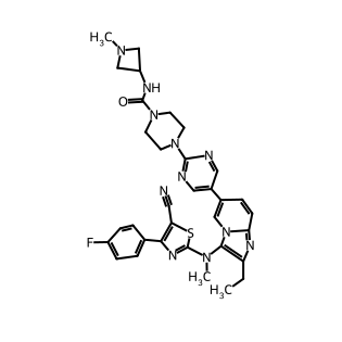 CCc1nc2ccc(-c3cnc(N4CCN(C(=O)NC5CN(C)C5)CC4)nc3)cn2c1N(C)c1nc(-c2ccc(F)cc2)c(C#N)s1